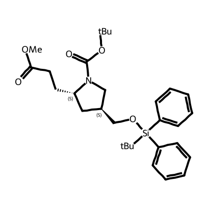 COC(=O)CC[C@H]1C[C@H](CO[Si](c2ccccc2)(c2ccccc2)C(C)(C)C)CN1C(=O)OC(C)(C)C